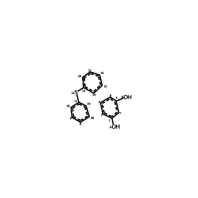 Oc1cccc(O)c1.c1ccc(Sc2ccccc2)cc1